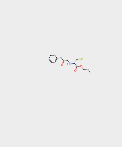 CCCOC(=O)[C@@H](CS)NCC(=O)Cc1ccccc1